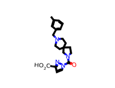 Cc1cccc(CN2CCC3(CC2)CCN(C(=O)n2ccc(C(=O)O)n2)C3)c1